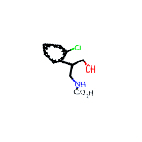 O=C(O)NCC(CO)c1ccccc1Cl